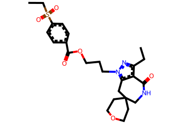 CCc1nn(CCCOC(=O)c2ccc(S(=O)(=O)CC)cc2)c2c1C(=O)NCC1(CCOCC1)C2